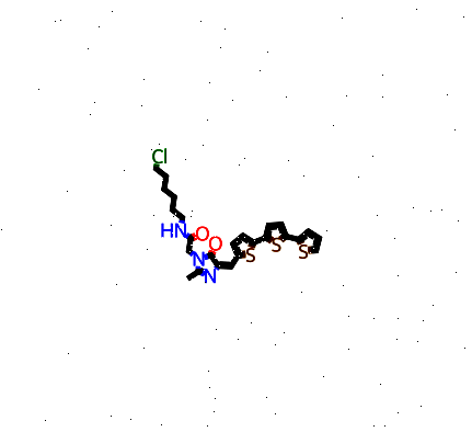 CC1=N/C(=C/c2ccc(-c3ccc(-c4cccs4)s3)s2)C(=O)N1CC(=O)NCCCCCCCl